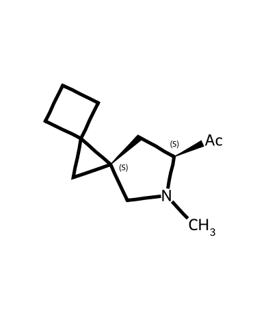 CC(=O)[C@@H]1C[C@@]2(CN1C)CC21CCC1